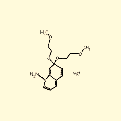 COCCOC1(OCCOC)C=CC2=CC=CN(N)C2=C1.Cl